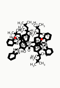 CC(C)(C)CC(C)(C)c1cc(-n2nc3ccccc3n2)c(O)c([SH](c2cc(C(C)(C)CC(C)(C)C)cc(-n3nc4ccccc4n3)c2O)[SH](=O)(c2cc(C(C)(C)CC(C)(C)C)cc(-n3nc4ccccc4n3)c2O)c2cc(C(C)(C)CC(C)(C)C)cc(-n3nc4ccccc4n3)c2O)c1